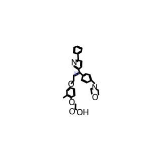 Cc1cc(OC/C=C(\c2ccc(CN3CCOCC3)cc2)c2ccc(-c3ccccc3)nc2)ccc1OCC(=O)O